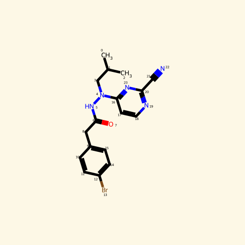 CC(C)CN(NC(=O)Cc1ccc(Br)cc1)c1ccnc(C#N)n1